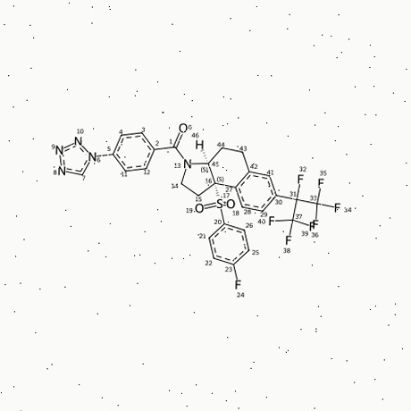 O=C(c1ccc(-n2cnnn2)cc1)N1CC[C@]2(S(=O)(=O)c3ccc(F)cc3)c3ccc(C(F)(C(F)(F)F)C(F)(F)F)cc3CC[C@H]12